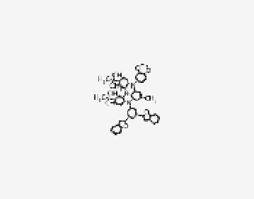 Cc1cc2c3c(c1)N(c1ccc4c(c1)OCCO4)c1ccc(C(C)(C)C)cc1B3c1cc(C(C)(C)C)ccc1N2c1cc(-c2cc3ccccc3o2)cc(-c2cc3ccccc3o2)c1